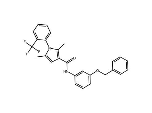 Cc1cc(C(=O)Nc2cccc(OCc3ccccc3)c2)c(C)n1-c1ccccc1C(F)(F)F